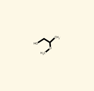 [CH2]C(CO)OC